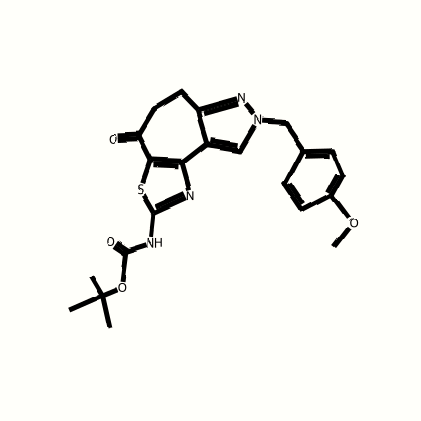 COc1ccc(Cn2cc3c(n2)CCC(=O)c2sc(NC(=O)OC(C)(C)C)nc2-3)cc1